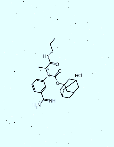 CCCNC(=O)[C@H](C)N(C(=O)OC12CC3CC(CC(C3)C1)C2)c1cccc(C(=N)N)c1.Cl